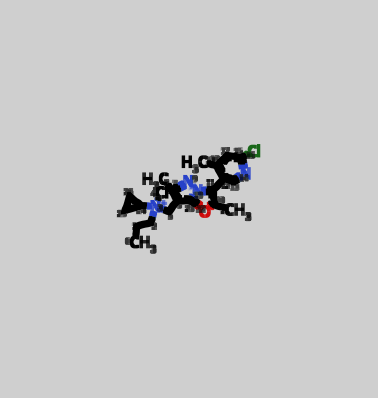 CCC[N+](C)(Cc1c(C)nn2c(-c3cnc(Cl)cc3C)c(C)oc12)C1CC1